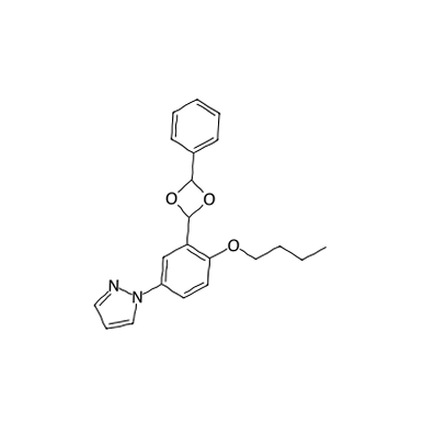 CCCCOc1ccc(-n2cccn2)cc1C1OC(c2ccccc2)O1